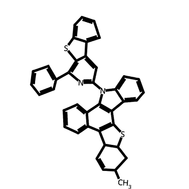 CC1C=CC2c3c(c4c5ccccc5n(-c5cc6c(sc7ccccc76)c(-c6ccccc6)n5)c4c4ccccc34)SC2C1